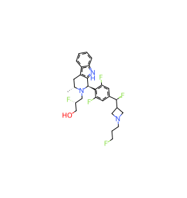 C[C@@H]1Cc2c([nH]c3ccccc23)[C@@H](c2c(F)cc([C@@H](F)C3CN(CCCF)C3)cc2F)N1C[C@@H](F)CO